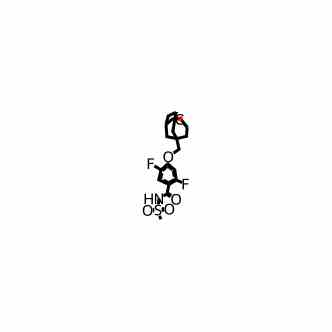 CS(=O)(=O)NC(=O)c1cc(F)c(OCC23CC4CCC(CC(C4)C2)C3)cc1F